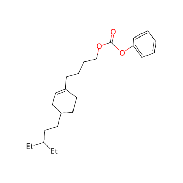 CCC(CC)CCC1CC=C(CCCCOC(=O)Oc2ccccc2)CC1